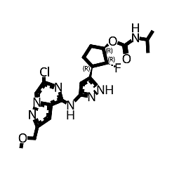 COCc1cc2c(Nc3cc([C@H]4CC[C@@H](OC(=O)NC(C)C)[C@@H]4F)[nH]n3)nc(Cl)cn2n1